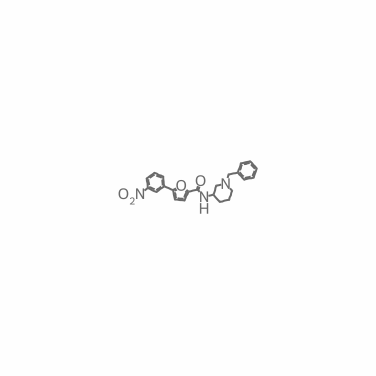 O=C(NC1CCCN(Cc2ccccc2)C1)c1ccc(-c2cccc([N+](=O)[O-])c2)o1